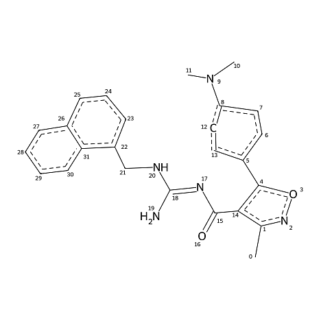 Cc1noc(-c2ccc(N(C)C)cc2)c1C(=O)/N=C(\N)NCc1cccc2ccccc12